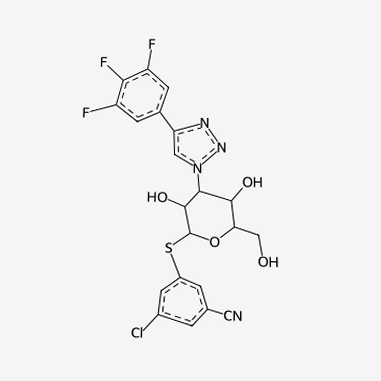 N#Cc1cc(Cl)cc(SC2OC(CO)C(O)C(n3cc(-c4cc(F)c(F)c(F)c4)nn3)C2O)c1